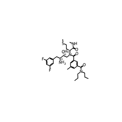 CCCN(CCC)C(=O)c1cc(C)cc(C(=O)N(C[C@@H](O)[C@@H](N)Cc2cc(F)cc(F)c2)[C@@H](CCSC)C(=O)NC)c1